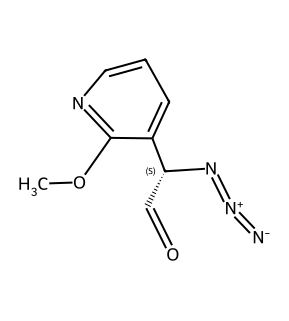 COc1ncccc1[C@@H](C=O)N=[N+]=[N-]